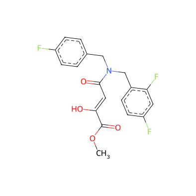 COC(=O)C(O)=CC(=O)N(Cc1ccc(F)cc1)Cc1ccc(F)cc1F